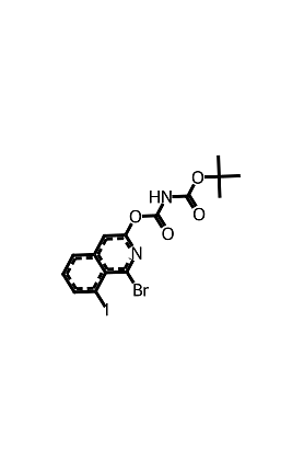 CC(C)(C)OC(=O)NC(=O)Oc1cc2cccc(I)c2c(Br)n1